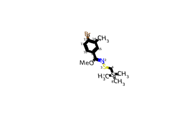 COC(=NSC[Si](C)(C)C)c1ccc(Br)c(C)c1